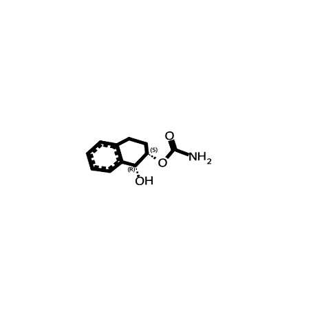 NC(=O)O[C@H]1CCc2ccccc2[C@H]1O